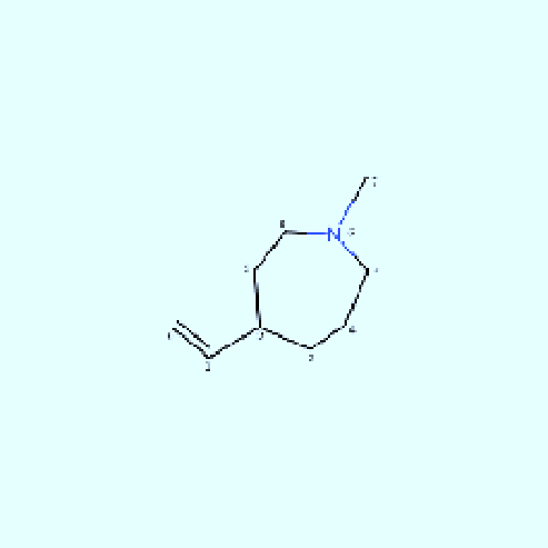 C=CC1CCCN(C)CC1